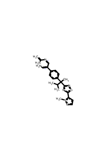 C=C(N)/N=C\C(=C/N)c1ccc(C(C)(c2noc(-c3ccnn3C)n2)C(C)C)cc1